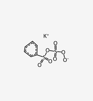 O=S(=O)(O[O-])OS(=O)(=O)c1ccccc1.[K+]